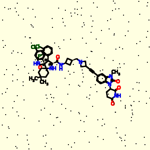 Cn1c(=O)n(C2CCC(=O)NC2=O)c2ccc(C#CC3CN(C[C@H]4C[C@H](NC(=O)[C@@H]5NC6(CCC(C)(C)CC6)[C@@]6(C(=O)Nc7cc(Cl)ccc76)[C@H]5c5cccc(Cl)c5F)C4)C3)cc21